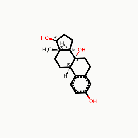 C[C@]12CC[C@@H]3c4ccc(O)cc4CC[C@]3(O)[C@@H]1CC[C@@H]2O